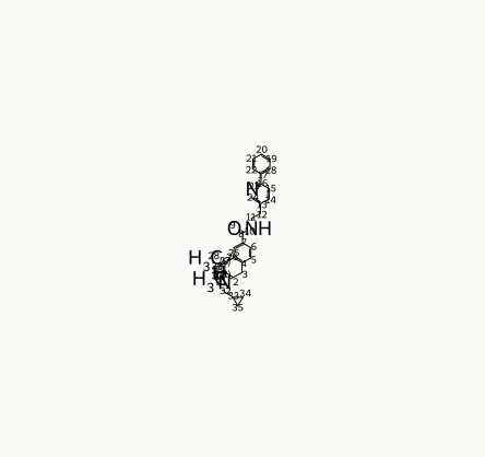 C[C@H]1C2Cc3ccc(C(=O)NCCc4ccc(-c5ccccc5)nc4)cc3[C@@]1(C)CCN2CC1CC1